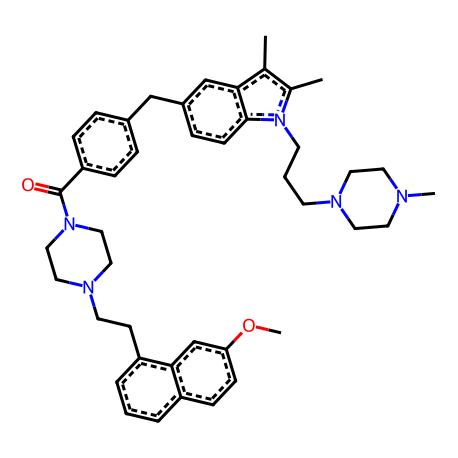 COc1ccc2cccc(CCN3CCN(C(=O)c4ccc(Cc5ccc6c(c5)c(C)c(C)n6CCCN5CCN(C)CC5)cc4)CC3)c2c1